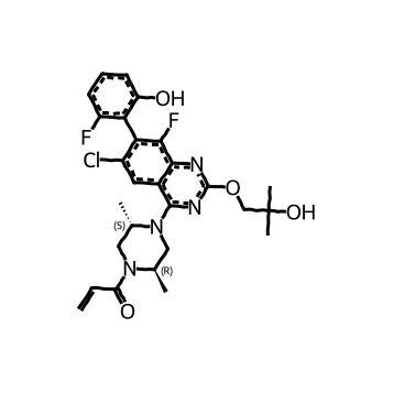 C=CC(=O)N1C[C@H](C)N(c2nc(OCC(C)(C)O)nc3c(F)c(-c4c(O)cccc4F)c(Cl)cc23)C[C@H]1C